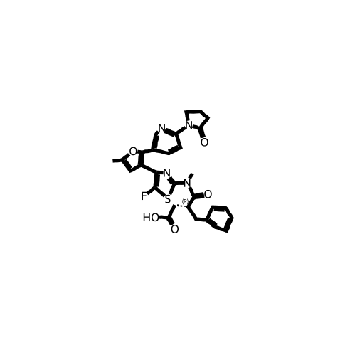 Cc1cc(-c2nc(N(C)C(=O)[C@@H](CC(=O)O)Cc3ccccc3)sc2F)c(-c2ccc(N3CCCC3=O)nc2)o1